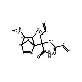 C=CCC(OC(=O)C=C)(C([NH])=O)C12C=CC(C1)C(C(=O)O)C2C(=O)O